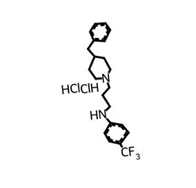 Cl.Cl.FC(F)(F)c1ccc(NCCCN2CCC(Cc3ccccc3)CC2)cc1